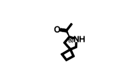 CC(=O)[C@@H]1CC2(CCC2)CN1